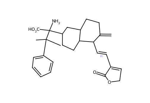 C=C1CCC2CC(C(N)(C(=O)O)C(C)(C)c3ccccc3)CCC2C1/C=C/C1=CCOC1=O